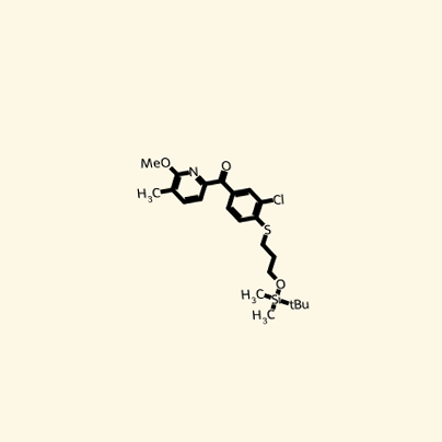 COc1nc(C(=O)c2ccc(SCCCO[Si](C)(C)C(C)(C)C)c(Cl)c2)ccc1C